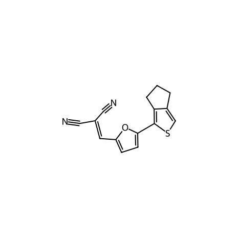 N#CC(C#N)=Cc1ccc(-c2scc3c2CCC3)o1